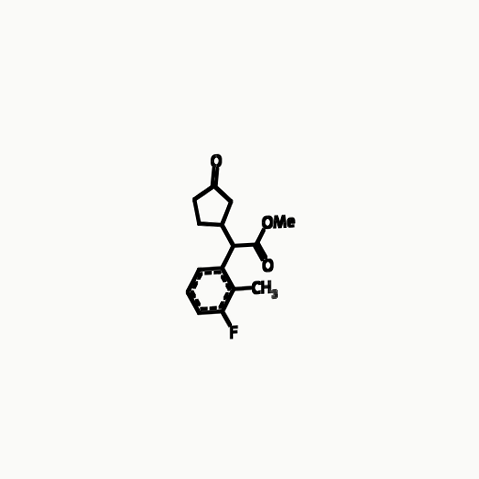 COC(=O)C(c1cccc(F)c1C)C1CCC(=O)C1